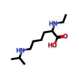 CCNC(CCCCNC(C)C)C(=O)O